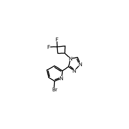 FC1(F)CC(n2cnnc2-c2cccc(Br)n2)C1